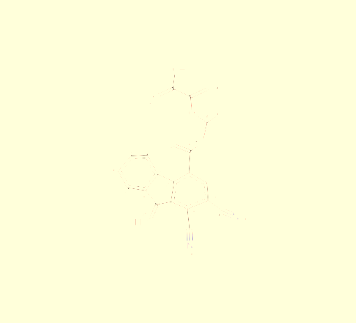 C=C(C)C(=O)OC(C)OC(=O)c1cc(C#N)c(C#N)c2c1-c1ccccc1C2=C